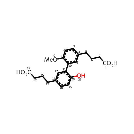 COc1ccc(CCCC(=O)O)cc1-c1cc(CCCC(=O)O)ccc1O